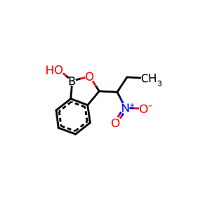 CCC(C1OB(O)c2ccccc21)[N+](=O)[O-]